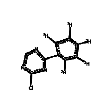 [2H]c1c([2H])c([2H])c(-c2ncnc(Cl)n2)c([2H])c1[2H]